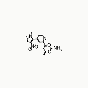 C=CC[C@H](OC(N)=O)c1cc(-c2c([N+](=O)[O-])cnn2C)ccn1